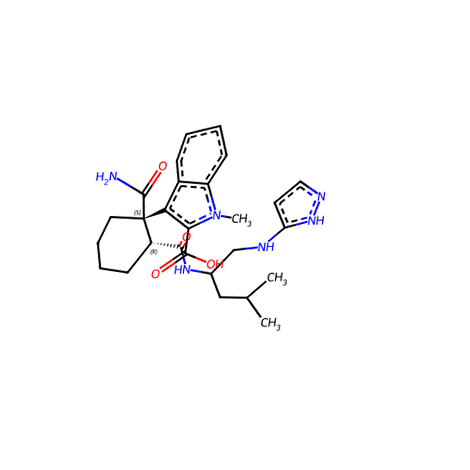 CC(C)CC(CNc1ccn[nH]1)NC(=O)[C@@H]1CCCC[C@@]1(C(N)=O)c1c(C(=O)O)n(C)c2ccccc12